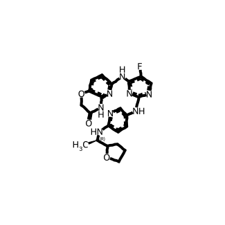 C[C@@H](Nc1ccc(Nc2ncc(F)c(Nc3ccc4c(n3)NC(=O)CO4)n2)cn1)C1CCCO1